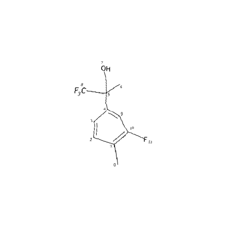 Cc1ccc(C(C)(O)C(F)(F)F)cc1F